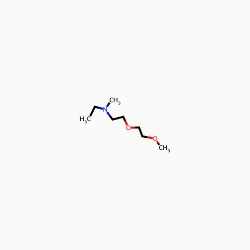 CCN(C)CCOCCOC